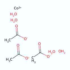 CC(=O)[O-].CC(=O)[O-].CC(=O)[O-].O.O.O.O.[Co+3]